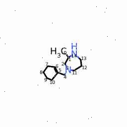 CC1CN(CC2=CCCCC2)CCCN1